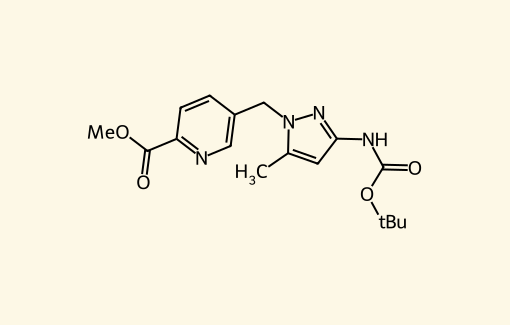 COC(=O)c1ccc(Cn2nc(NC(=O)OC(C)(C)C)cc2C)cn1